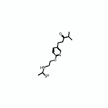 CC(S)NCCOc1ccc(CCC(=O)C(C)C)cn1